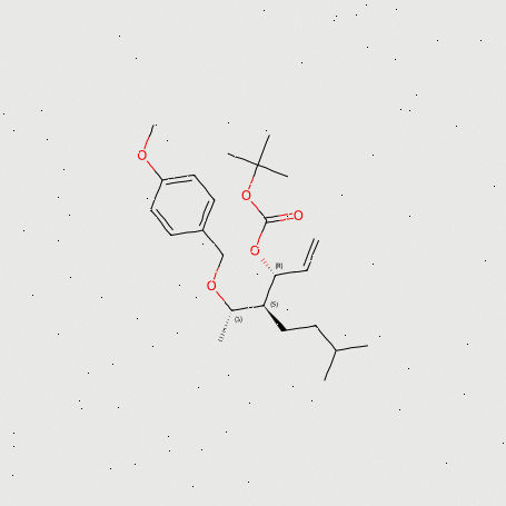 C=C[C@@H](OC(=O)OC(C)(C)C)[C@@H](CCC(C)C)[C@H](C)OCc1ccc(OC)cc1